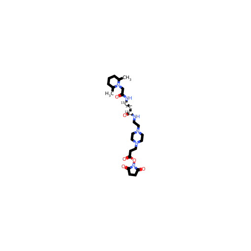 CC1CCCC(C)N1CC(=O)N[13CH2][13CH2][13C](=O)NCCN1CCN(CCC(=O)ON2C(=O)CCC2=O)CC1